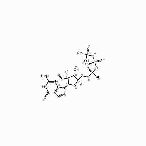 C=C[C@]1(F)[C@H](n2cnc3c(=O)[nH]c(N)nc32)O[C@](F)(COP(=O)(O)OP(=O)(O)OP(=O)(O)O)[C@H]1O